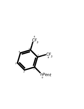 CCCCCc1cccc(C(F)(F)F)c1C(F)(F)F